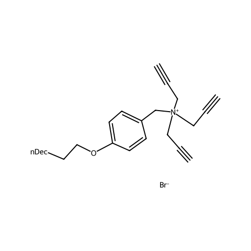 C#CC[N+](CC#C)(CC#C)Cc1ccc(OCCCCCCCCCCCC)cc1.[Br-]